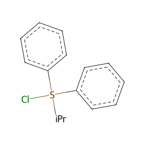 CC(C)S(Cl)(c1ccccc1)c1ccccc1